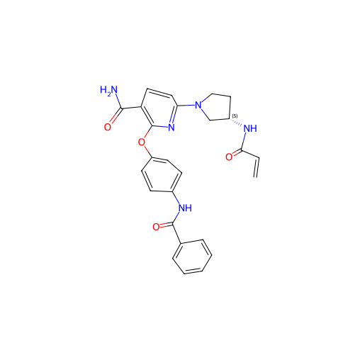 C=CC(=O)N[C@H]1CCN(c2ccc(C(N)=O)c(Oc3ccc(NC(=O)c4ccccc4)cc3)n2)C1